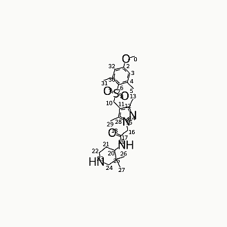 COc1cc(C)c(S(=O)(=O)Cc2c(C)nn(CC(=O)NC3CCNCC3(C)C)c2C)c(C)c1